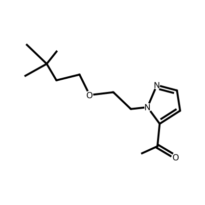 CC(=O)c1ccnn1CCOCCC(C)(C)C